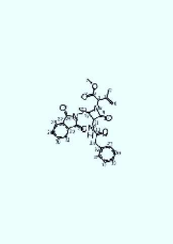 C=C(C)C(C(=O)OC)N1C(=O)C(NC(=O)Cc2ccccc2)C1SN1C(=O)c2ccccc2C1=O